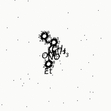 CCc1ccc(N2C(=O)N(Cc3ccccc3Cc3ccccc3)C(C)(C)C2=O)cc1